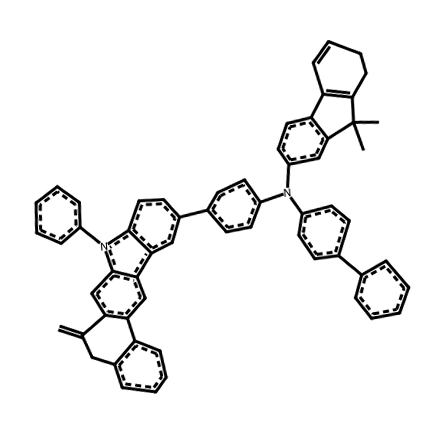 C=C1Cc2ccccc2-c2cc3c4cc(-c5ccc(N(c6ccc(-c7ccccc7)cc6)c6ccc7c(c6)C(C)(C)C6=C7C=CCC6)cc5)ccc4n(-c4ccccc4)c3cc21